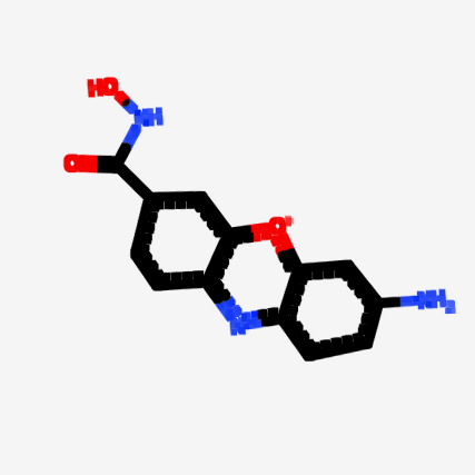 Nc1ccc2nc3ccc(C(=O)NO)cc3[o+]c2c1